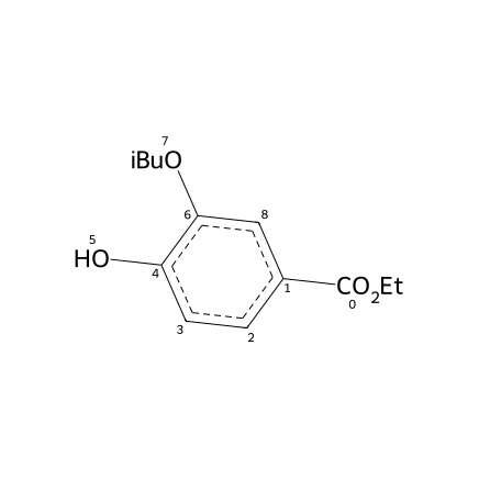 CCOC(=O)c1ccc(O)c(OCC(C)C)c1